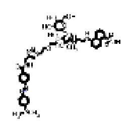 CN(C)c1ccc(/N=N/c2ccc(C(=O)NCc3cn(CCOCCO[C@H](O[C@@H]4O[C@H](CO)[C@H](O)[C@H](O)[C@H]4O)[C@@](C)(O)C(=O)NCCNc4cccc5c(S(=O)(=O)O)cccc45)nn3)cc2)cc1